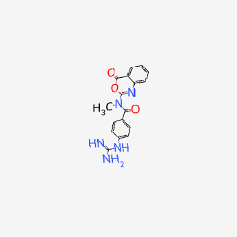 CN(C(=O)c1ccc(NC(=N)N)cc1)c1nc2ccccc2c(=O)o1